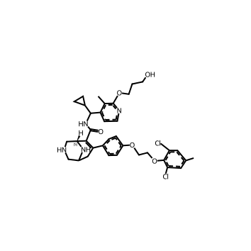 Cc1cc(Cl)c(OCCOc2ccc(C3=C(C(=O)NC(c4ccnc(OCCCO)c4C)C4CC4)[C@H]4CNCC(C3)N4)cc2)c(Cl)c1